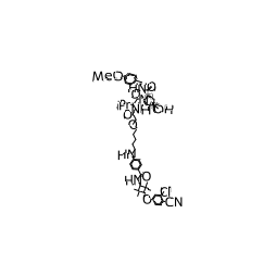 COc1ccc(CNC(=O)[C@@H]2C[C@@H](O)CN2C(=O)C(NC(=O)COCCCCCNc2ccc(C(=O)N[C@H]3C(C)(C)[C@H](Oc4ccc(C#N)c(Cl)c4)C3(C)C)cc2)C(C)C)cc1